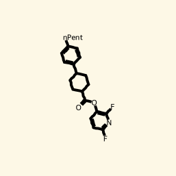 CCCCCc1ccc(C2CCC(C(=O)Oc3ccc(F)nc3F)CC2)cc1